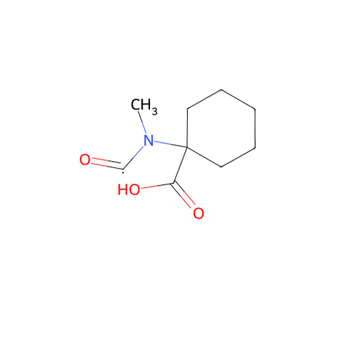 CN([C]=O)C1(C(=O)O)CCCCC1